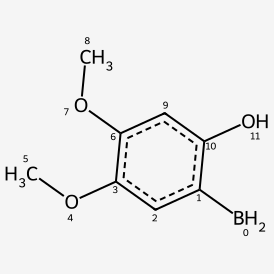 Bc1cc(OC)c(OC)cc1O